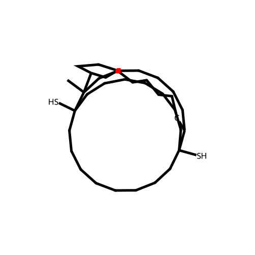 CC12CC3CCCCC(CCCCCCCC1CC3)C1(S)CCCCCCCCC2(S)CCCCCCC1